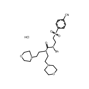 CC(C)N(CCS(=O)(=O)c1ccc(C#N)cc1)C(=O)N(CCN1CCOCC1)CCN1CCOCC1.Cl